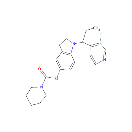 CCC(c1ccncc1F)N1CCc2cc(OC(=O)N3CCCCC3)ccc21